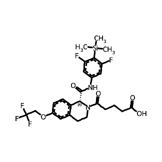 C[Si](C)(C)c1c(F)cc(NC(=O)[C@H]2c3ccc(OCC(F)(F)F)cc3CCN2C(=O)CCCC(=O)O)cc1F